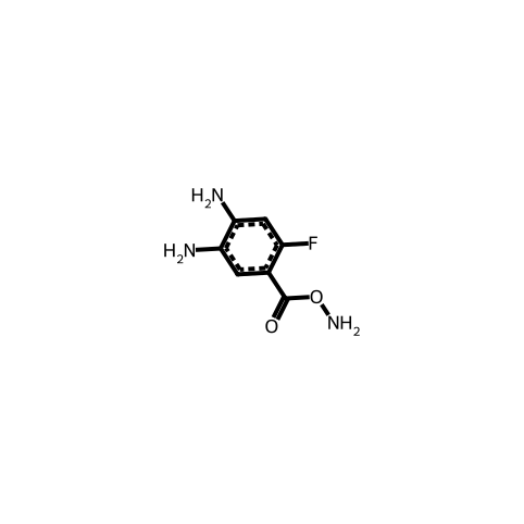 NOC(=O)c1cc(N)c(N)cc1F